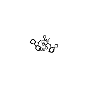 CN(C(=O)OCC1c2ccccc2-c2ccccc21)C(Cc1ccccc1Cl)C(=O)OC(C)(C)C